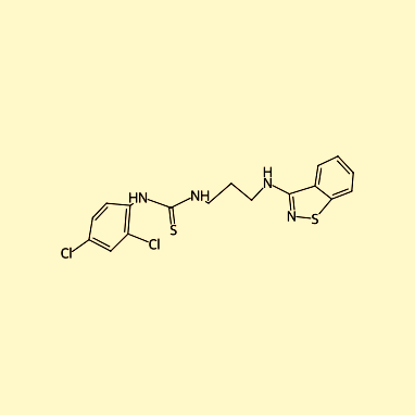 S=C(NCCCNc1nsc2ccccc12)Nc1ccc(Cl)cc1Cl